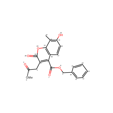 COC(=O)Cc1c(C(=O)OCc2ccccc2)c2ccc(O)c(C)c2oc1=O